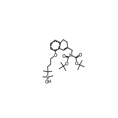 CC(C)(C)OC(=O)N(CC1=Cc2c(cccc2OCCCC(C)(C)[Si](C)(C)O)CC1)C(=O)OC(C)(C)C